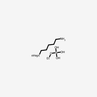 CCCCCCCCCCCCN.CCO[Si](O)(O)O